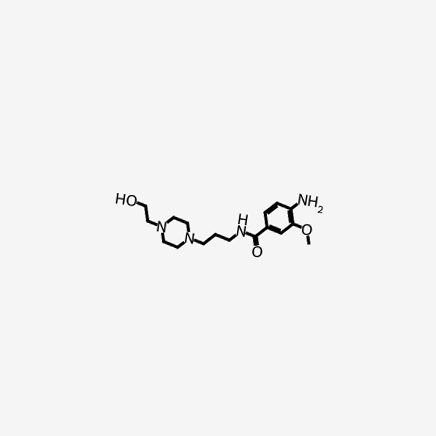 COc1cc(C(=O)NCCCN2CCN(CCO)CC2)ccc1N